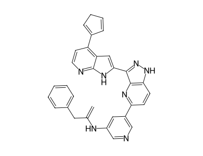 C=C(Cc1ccccc1)Nc1cncc(-c2ccc3[nH]nc(-c4cc5c(C6=CCC=C6)ccnc5[nH]4)c3n2)c1